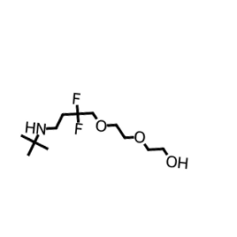 CC(C)(C)NCCC(F)(F)COCCOCCO